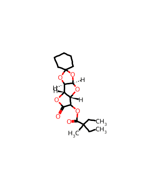 CCC(C)(CC)C(=O)OC1C(=O)O[C@@H]2[C@H]3OC4(CCCCC4)O[C@H]3O[C@H]12